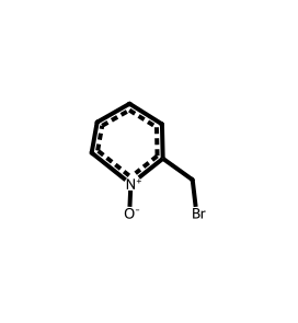 [O-][n+]1ccccc1CBr